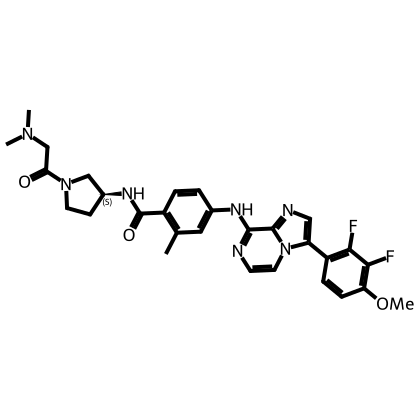 COc1ccc(-c2cnc3c(Nc4ccc(C(=O)N[C@H]5CCN(C(=O)CN(C)C)C5)c(C)c4)nccn23)c(F)c1F